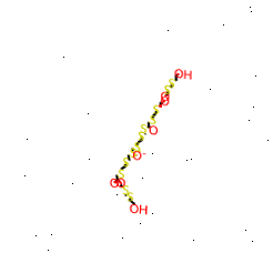 O=C(CSCCSCC[S+]([O-])CSCCSCSC(=O)CSCCSCCOOCSCSCCO)OCSCSCCO